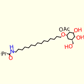 CC(=O)O[C@@H]1[C@@H](O)[C@H](O)[C@@H](CO)C[C@H]1OCCCCCCCCCCCCCCCNC(=O)C(C)C